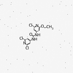 CCOc1cc(NC(=O)Nc2cc(Cl)nc(Cl)c2)cc(Cl)n1